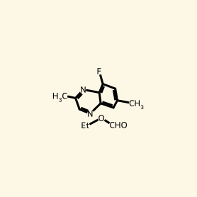 CCOC=O.Cc1cc(F)c2nc(C)cnc2c1